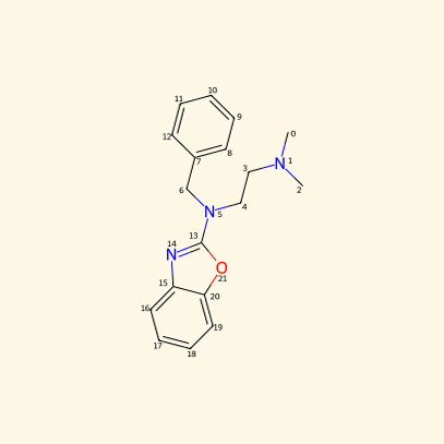 CN(C)CCN(Cc1ccccc1)c1nc2ccccc2o1